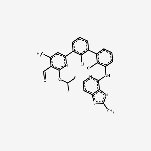 Cc1nc2c(Nc3cccc(-c4cccc(-c5cc(C)c(C=O)c(OC(F)F)n5)c4Cl)c3Cl)nccc2s1